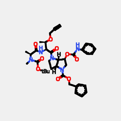 C#CCO[C@H](C)[C@H](NC(=O)[C@H](C)N(C)C(=O)OC(C)(C)C)C(=O)N1CC[C@@H]2[C@H]1[C@@H](OC(=O)Nc1ccccc1)CN2C(=O)OCc1ccccc1